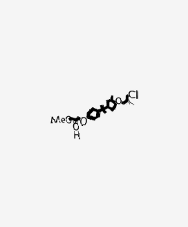 COC[C@@H](O)COc1ccc(C(C)(C)c2ccc(OC[C@@H](C)CCl)c(C)c2)cc1